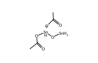 CC(=O)[O][SnH]([O][SnH3])[O]C(C)=O